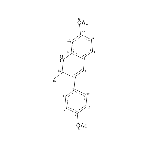 CC(=O)Oc1ccc(C2=Cc3ccc(OC(C)=O)cc3OC2C)cc1